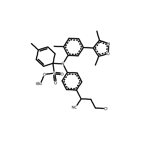 CC1=CCC(N(c2ccc(C(C#N)CCCl)cc2)c2cc(-c3c(C)noc3C)ccc2C)(S(=O)(=O)OC(C)(C)C)C=C1